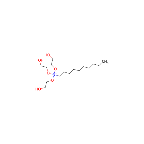 CCCCCCCCCC[N+](OCCO)(OCCO)OCCO